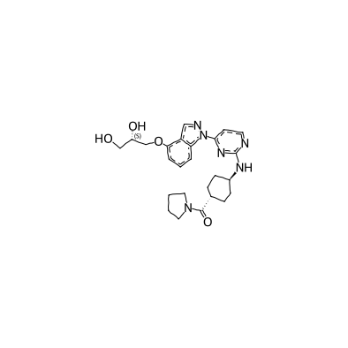 O=C([C@H]1CC[C@H](Nc2nccc(-n3ncc4c(OC[C@@H](O)CO)cccc43)n2)CC1)N1CCCC1